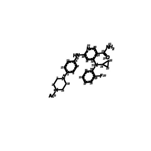 CC(=O)N1CCN(c2ccc(Nc3cc(N(c4ccccc4F)C4CC4)c(C(N)=O)cn3)cc2)CC1